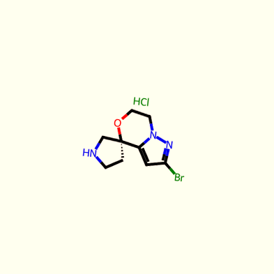 Brc1cc2n(n1)CCO[C@@]21CCNC1.Cl